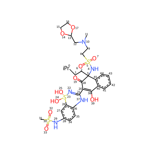 CC(C)CCC1(NS(=O)(=O)CCN(C)CC2OCCO2)C(=O)C(C2=NS(O)(O)c3cc(NS(C)(=O)=O)ccc3N2)=C(O)c2ccccc21